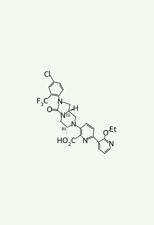 CCOc1ncccc1-c1ccc(N2C[C@H]3CN(c4ccc(Cl)cc4C(F)(F)F)C(=O)N3C[C@H]2C)c(C(=O)O)n1